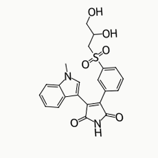 Cn1cc(C2=C(c3cccc(S(=O)(=O)CC(O)CO)c3)C(=O)NC2=O)c2ccccc21